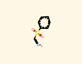 C=[C]S(=O)(=O)c1ccccc1